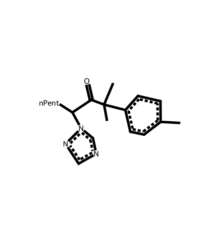 CCCCCC(C(=O)C(C)(C)c1ccc(C)cc1)n1cncn1